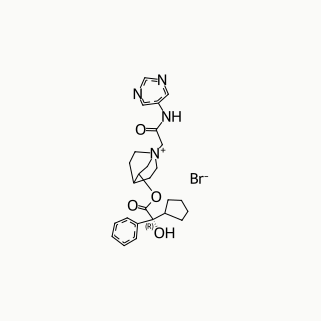 O=C(C[N+]12CCC(CC1)C(OC(=O)[C@](O)(c1ccccc1)C1CCCC1)C2)Nc1cncnc1.[Br-]